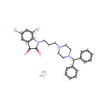 Cl.Cl.O=C1C(=O)N(CCCN2CCN(C(c3ccccc3)c3ccccc3)CC2)c2c(Cl)cc(Cl)cc21